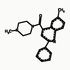 Cc1ccc2nc(-c3ccccc3)cc(C(=O)N3CCN(C)CC3)c2c1